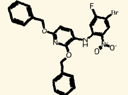 O=[N+]([O-])c1cc(Br)c(F)cc1Nc1ccc(OCc2ccccc2)nc1OCc1ccccc1